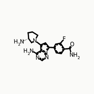 NC(=O)c1ccc(-c2cc(N3CCC[C@@H](N)C3)c3c(N)ncnn23)cc1F